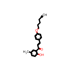 C#CCCCCOc1ccc(C=CC(=O)c2cc(C)ccc2O)cc1